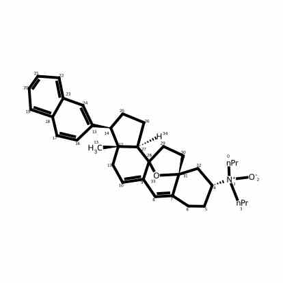 CCC[N+]([O-])(CCC)[C@@H]1CCC2=CC3=CC[C@]4(C)[C@@H](c5ccc6ccccc6c5)CC[C@H]4C34CC[C@]2(C1)O4